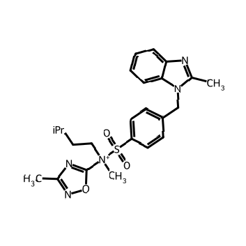 Cc1noc([N+](C)(CCC(C)C)S(=O)(=O)c2ccc(Cn3c(C)nc4ccccc43)cc2)n1